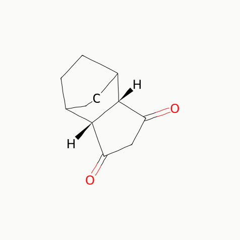 O=C1CC(=O)[C@H]2C3CCC(CC3)[C@@H]12